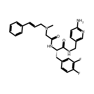 CN(CC=Cc1ccccc1)CC(=O)N[C@@H](Cc1ccc(F)c(F)c1)C(=O)NCc1ccc(N)nc1